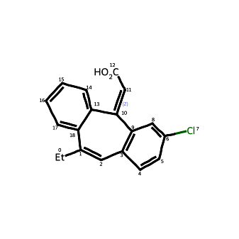 CCC1=Cc2ccc(Cl)cc2/C(=C/C(=O)O)c2ccccc21